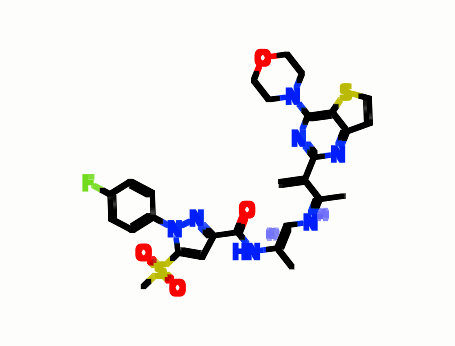 C=C(/C(C)=N\C=C(/C)NC(=O)c1cc(S(C)(=O)=O)n(-c2ccc(F)cc2)n1)c1nc(N2CCOCC2)c2sccc2n1